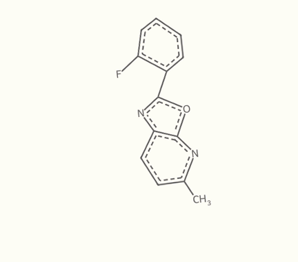 Cc1ccc2nc(-c3ccccc3F)oc2n1